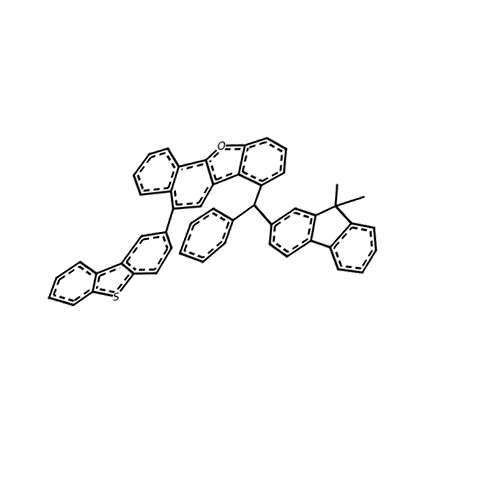 CC1(C)c2ccccc2-c2ccc(C(c3ccccc3)c3cccc4oc5c6ccccc6c(-c6ccc7sc8ccccc8c7c6)cc5c34)cc21